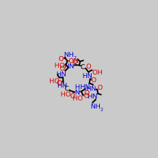 CC(NCCN)C(=O)NCC1NC(=O)C(C(=O)O)NC(=O)C(O)CNC(=O)C(C(C)O)NC(=O)C(C(O)C(O)C(N)=O)NC(=O)C(C(C)C)CC(=O)C(CO)NC1=O